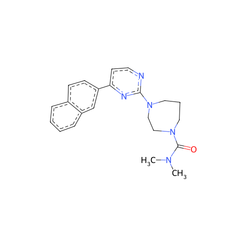 CN(C)C(=O)N1CCCN(c2nccc(-c3ccc4ccccc4c3)n2)CC1